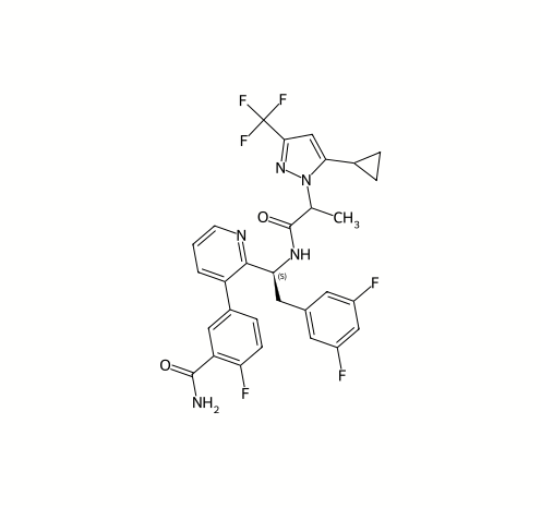 CC(C(=O)N[C@@H](Cc1cc(F)cc(F)c1)c1ncccc1-c1ccc(F)c(C(N)=O)c1)n1nc(C(F)(F)F)cc1C1CC1